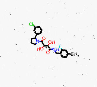 Bc1ccc(CNC(=O)[C@H](O)[C@@H](O)C(=O)N2CCCC2c2cccc(Cl)c2)c(F)c1